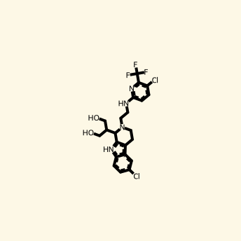 OCC(CO)C1c2[nH]c3ccc(Cl)cc3c2CCN1CCNc1ccc(Cl)c(C(F)(F)F)n1